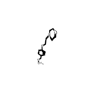 COCc1ccc(OCCN2CCOCC2)cc1